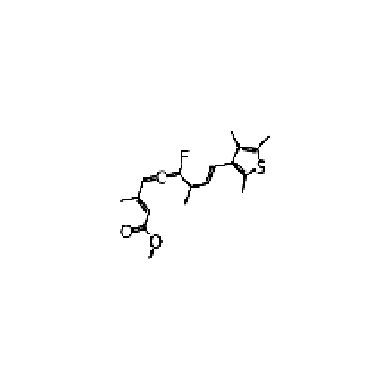 COC(=O)C=C(C)C=C=C(F)C(C)C=Cc1c(C)sc(C)c1C